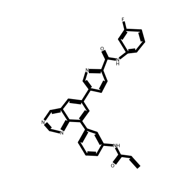 C=CC(=O)Nc1cccc(-c2cc(-c3ccc(C(=O)Nc4cccc(F)c4)nc3)cc3cncnc23)c1